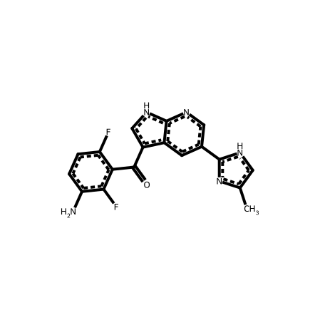 Cc1c[nH]c(-c2cnc3[nH]cc(C(=O)c4c(F)ccc(N)c4F)c3c2)n1